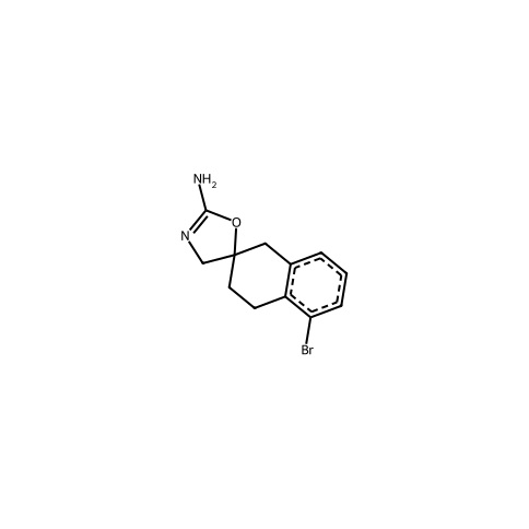 NC1=NCC2(CCc3c(Br)cccc3C2)O1